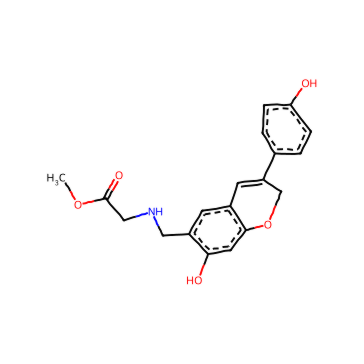 COC(=O)CNCc1cc2c(cc1O)OCC(c1ccc(O)cc1)=C2